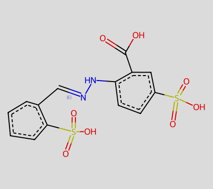 O=C(O)c1cc(S(=O)(=O)O)ccc1N/N=C/c1ccccc1S(=O)(=O)O